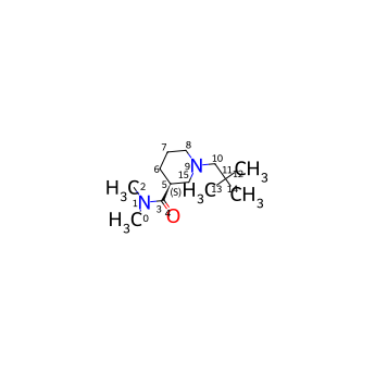 CN(C)C(=O)[C@H]1CCCN(CC(C)(C)C)C1